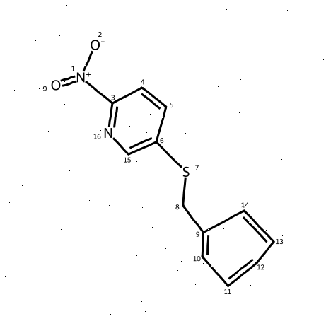 O=[N+]([O-])c1ccc(SCc2ccccc2)cn1